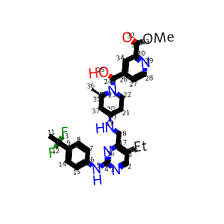 CCc1cnc(Nc2ccc(C(C)(F)F)cc2)nc1CN[C@@H]1CCN(C(O)c2ccnc(C(=O)OC)c2)[C@H](C)C1